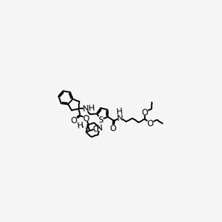 CCOC(CCCNC(=O)c1ccc(CNC2(C(=O)O[C@H]3CN4CCC3CC4)Cc3ccccc3C2)s1)OCC